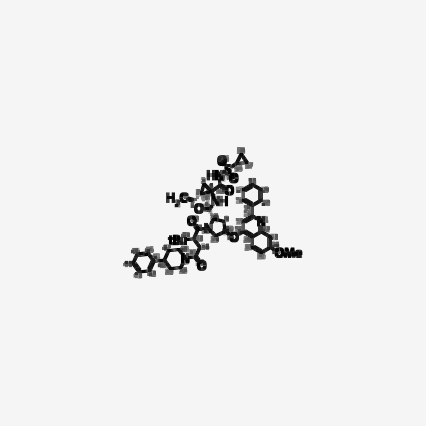 C=C[C@@H]1C[C@]1(NC(=O)[C@@H]1C[C@@H](Oc2cc(-c3ccccc3)nc3cc(OC)ccc23)CN1C(=O)C(CC(=O)N1CCC(c2ccccc2)CC1)C(C)(C)C)C(=O)NS(=O)(=O)C1CC1